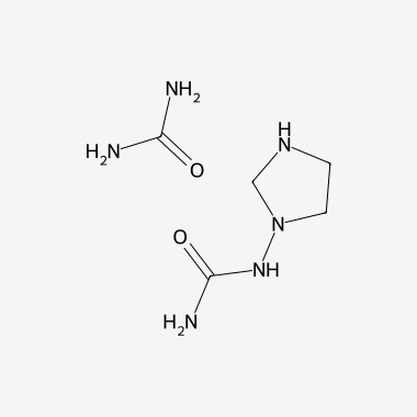 NC(=O)NN1CCNC1.NC(N)=O